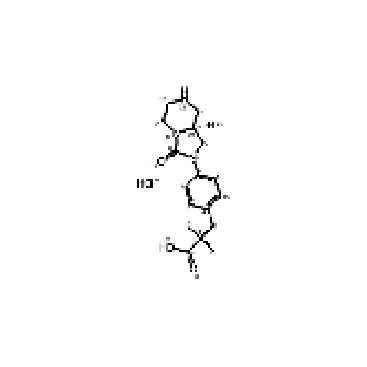 CC(C)(Cc1ccc(N2C[C@@H]3CNCCN3C2=O)cc1)C(=O)O.Cl